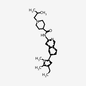 CCc1cc(-c2ccc3cnc(NC(=O)C4CCN(CC(C)C)CC4)cc3c2)n(C)c1C